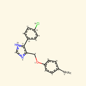 CC(=O)Nc1ccc(OCc2nc[nH]c2-c2ccc(Cl)cc2)cc1